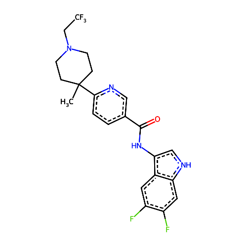 CC1(c2ccc(C(=O)Nc3c[nH]c4cc(F)c(F)cc34)cn2)CCN(CC(F)(F)F)CC1